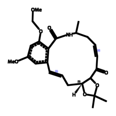 COCOc1cc(OC)cc2c1C(=O)NC(C)C/C=C\C(=O)C1OC(C)(C)O[C@H]1C/C=C/2